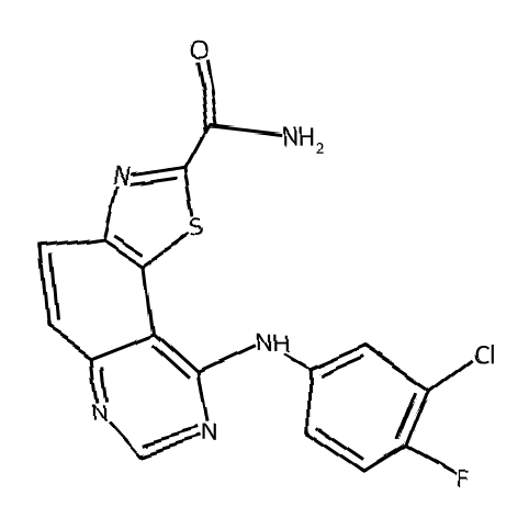 NC(=O)c1nc2ccc3ncnc(Nc4ccc(F)c(Cl)c4)c3c2s1